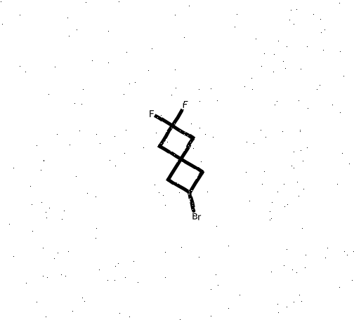 FC1(F)CC2(CC(Br)C2)C1